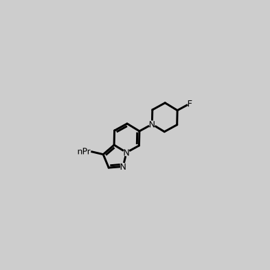 CCCc1cnn2cc(N3CCC(F)CC3)ccc12